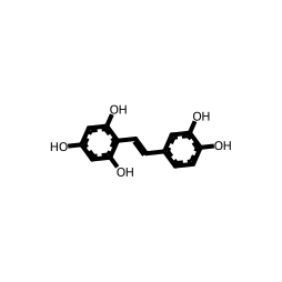 Oc1cc(O)c(/C=C/c2ccc(O)c(O)c2)c(O)c1